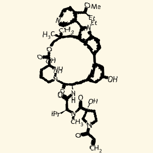 C=CC(=O)N1CC[C@](O)(C(=O)N(C)[C@H](C(=O)N[C@H]2Cc3cc(O)cc(c3)-c3ccc4c(c3)c(c(-c3cnccc3[C@H](CC)OC)n4CC)CC(C)(C)COC(=O)[C@@]3(O)CCCN(N3)C2=O)C(C)C)C1